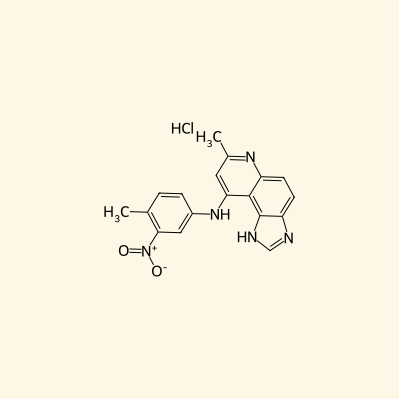 Cc1cc(Nc2ccc(C)c([N+](=O)[O-])c2)c2c(ccc3nc[nH]c32)n1.Cl